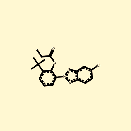 CCC(=O)Oc1c(-n2nc3ccc(Cl)cc3n2)cccc1C(C)(C)C